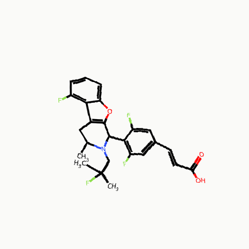 CC1Cc2c(oc3cccc(F)c23)C(c2c(F)cc(/C=C/C(=O)O)cc2F)N1CC(C)(C)F